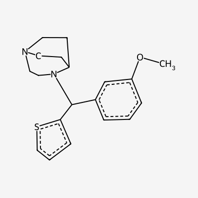 COc1cccc(C(c2cccs2)N2CCN3CCC2CC3)c1